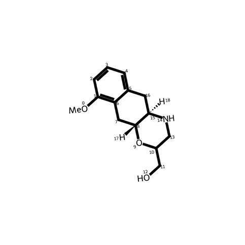 COc1cccc2c1C[C@H]1OC(CO)CN[C@@H]1C2